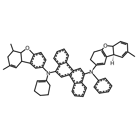 CC1=C[C@H]2C3=C(CCC(N(c4ccccc4)c4cc5c6ccccc6c(N(C6=CCCCC6)c6ccc7c(c6)C6C=C(C)CC(C)C6O7)cc5c5ccccc45)=C3)OC2C=C1